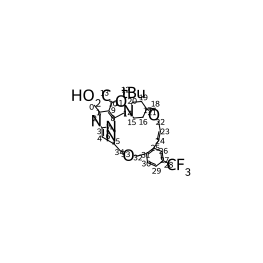 Cc1nc2cc3nn2c(c1[C@H](OC(C)(C)C)C(=O)O)N1CCC(C)(CC1)OCC=Cc1cc(C(F)(F)F)ccc1COC3